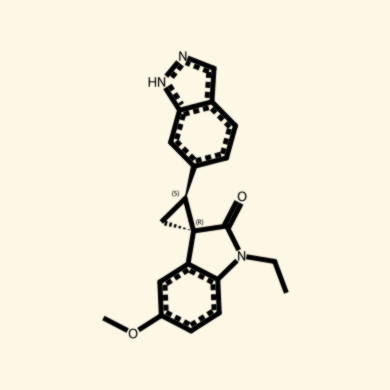 CCN1C(=O)[C@@]2(C[C@H]2c2ccc3cn[nH]c3c2)c2cc(OC)ccc21